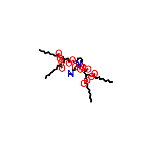 CCCCCCCCC(=O)OCC(COC(=O)CCCCCCCC)CC(=O)OC[C@H]1CCC[C@@H](COC(=O)CC(COC(=O)CCCCCCCC)COC(=O)CCCCCCCC)N1C(=O)OCCN(C)C